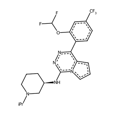 CC(C)N1CCC[C@@H](Nc2nnc(-c3ccc(C(F)(F)F)cc3OC(F)F)c3cccn23)C1